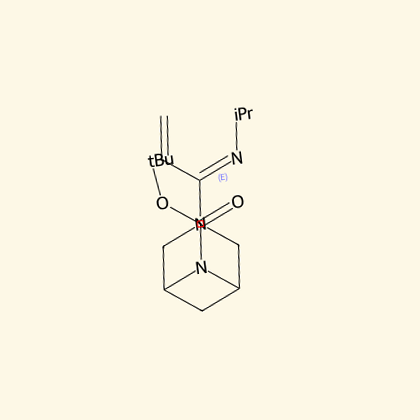 C=C/C(=N\C(C)C)N1CC2CC(C1)N2C(=O)OC(C)(C)C